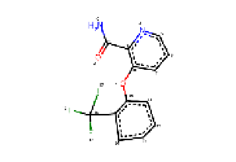 NC(=O)c1ncccc1Oc1ccccc1C(F)(F)F